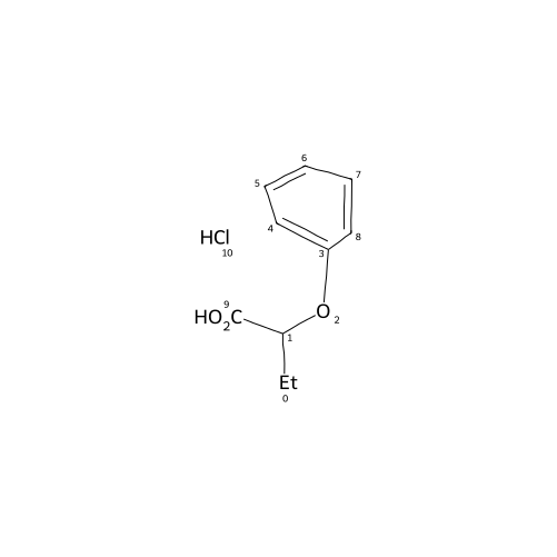 CCC(Oc1ccccc1)C(=O)O.Cl